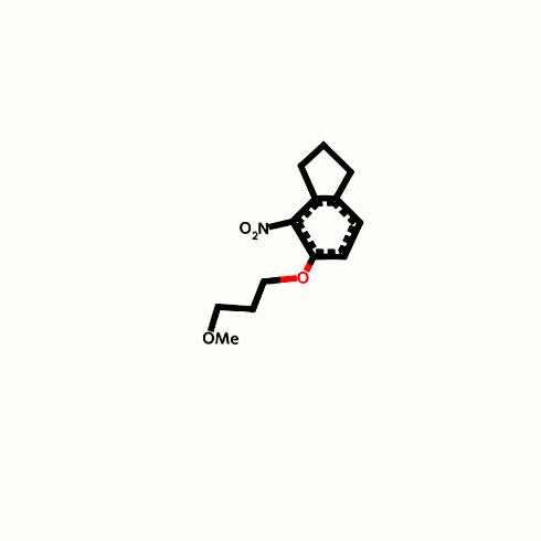 COCCCOc1ccc2c(c1[N+](=O)[O-])CCC2